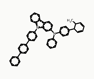 CC1C=CC=CC1c1ccc(N(c2ccccc2)c2ccc3c4ccccc4n(-c4ccc(-c5ccc(-c6ccccc6)cc5)cc4)c3c2)cc1